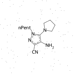 CCCCCn1nc(C#N)c(N)c1N1CCCC1